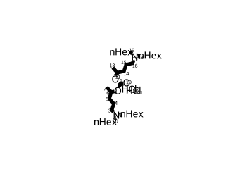 CCCCCCN(CCCCCC)CCCC(C)OC(=O)OC(C)CCCN(CCCCCC)CCCCCC.Cl.Cl